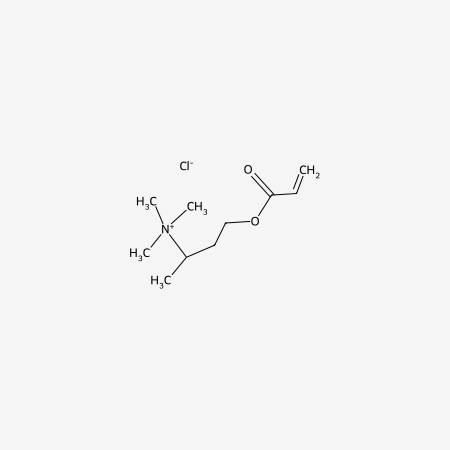 C=CC(=O)OCCC(C)[N+](C)(C)C.[Cl-]